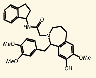 COc1cc2c(cc1O)C(Cc1ccc(OC)c(OC)c1)N(CC(=O)NC1CCc3ccccc31)CCC2